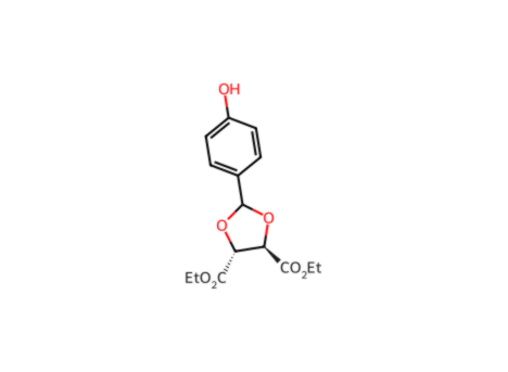 CCOC(=O)[C@@H]1OC(c2ccc(O)cc2)O[C@H]1C(=O)OCC